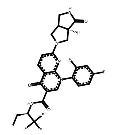 CC[C@@H](NC(=O)c1cn(-c2ccc(F)cc2F)c2nc(N3CC4CNC(=O)[C@H]4C3)ccc2c1=O)C(F)(F)F